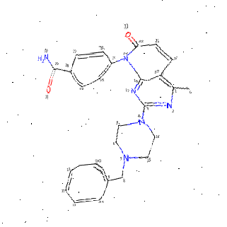 Cc1nc(N2CCN(Cc3ccccc3)CC2)nc2c1ccc(=O)n2-c1ccc(C(N)=O)cc1